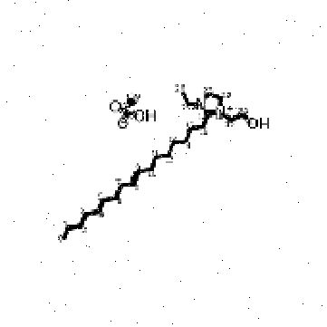 CCCCCCCC/C=C/CCCCCCCC1=[N+](CCO)CCN1CC.O=S(=O)([O-])O